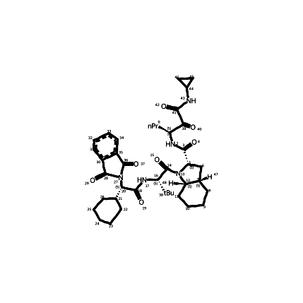 CCC[C@H](NC(=O)[C@@H]1C[C@@H]2CCCC[C@@H]2N1C(=O)[C@@H](NC(=O)[C@H](C1CCCCC1)N1C(=O)c2ccccc2C1=O)C(C)(C)C)C(=O)C(=O)NC1CC1